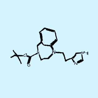 CC(C)(C)OC(=O)N1CCN(CCc2c[nH]cn2)c2ccccc2C1